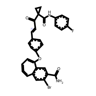 NC(=O)c1cc2c(cc1Br)C=C=CC=C2Oc1ccc(/C=C/C(=O)C2(C(=O)Nc3ccc(F)cc3)CC2)cc1